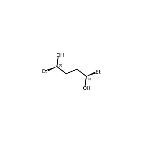 CC[C@@H](O)CC[C@H](O)CC